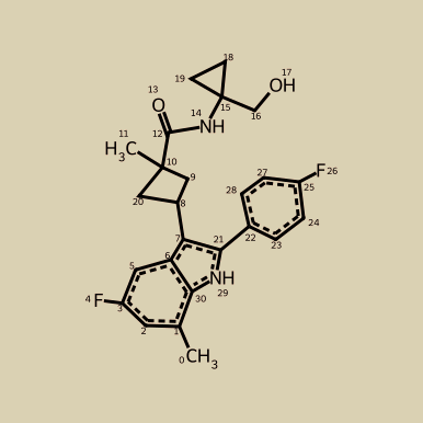 Cc1cc(F)cc2c(C3CC(C)(C(=O)NC4(CO)CC4)C3)c(-c3ccc(F)cc3)[nH]c12